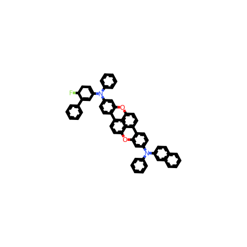 FC1CC=C(N(c2ccccc2)c2ccc3c(c2)Oc2ccc4c5c(ccc-3c25)Oc2cc(N(c3ccccc3)c3ccc5ccccc5c3)ccc2-4)C=C1c1ccccc1